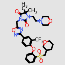 CC1(C)C(=O)N(Cc2nc(-c3ccc(Oc4ccccc4S(=O)(=O)CC4CCCOC4)c(C(F)(F)F)c3)no2)C(=O)N1CCN1CCOCC1